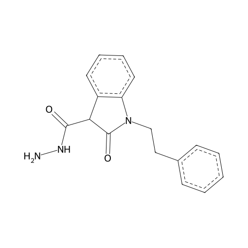 NNC(=O)C1C(=O)N(CCc2ccccc2)c2ccccc21